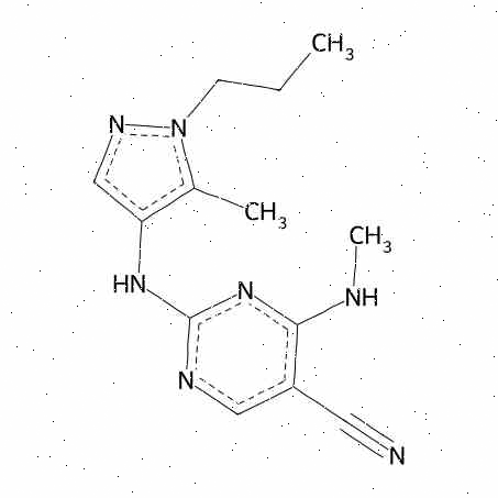 CCCn1ncc(Nc2ncc(C#N)c(NC)n2)c1C